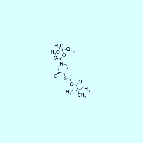 CC(C)(C)OC(=O)N1CCC(SCOC(=O)C(C)(C)C)C(=O)C1